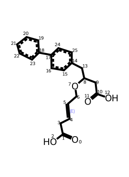 O=C(O)C/C=C/COC(CC(=O)O)Cc1ccc(-c2ccccc2)cc1